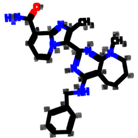 Cc1nc2c(C(N)=O)cccn2c1-c1nc(NCc2ccccc2)c2c(n1)N(C)CCCC2